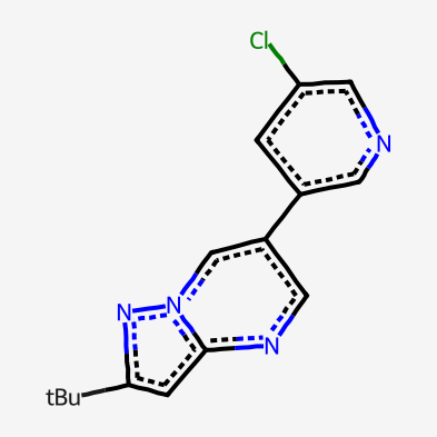 CC(C)(C)c1cc2ncc(-c3cncc(Cl)c3)cn2n1